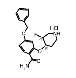 Cl.NC(=O)c1ccc(OCc2ccccc2)cc1O[C@@H]1CCNC[C@@H]1F